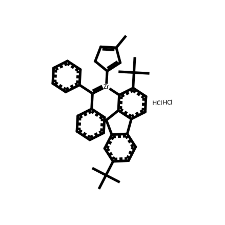 CC1=CC[C]([Zr](=[C](c2ccccc2)c2ccccc2)[c]2c(C(C)(C)C)ccc3c2Cc2cc(C(C)(C)C)ccc2-3)=C1.Cl.Cl